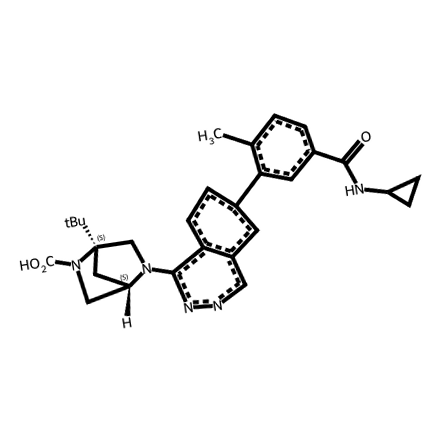 Cc1ccc(C(=O)NC2CC2)cc1-c1ccc2c(N3C[C@@]4(C(C)(C)C)C[C@H]3CN4C(=O)O)nncc2c1